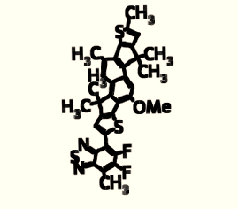 COc1cc2c3c(c(C)cc2c2c1-c1sc(-c4c(F)c(F)c(C)c5nsnc45)cc1C2(C)C)-c1sc(C)cc1C3(C)C